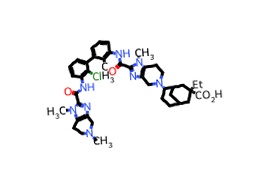 CCC1(C(=O)O)CC2CCC(N3CCc4c(nc(C(=O)Nc5cccc(-c6cccc(NC(=O)c7nc8c(n7C)CCN(C)C8)c6Cl)c5C)n4C)C3)C(C2)C1